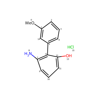 COc1cccc(-c2c(N)cccc2O)c1.Cl